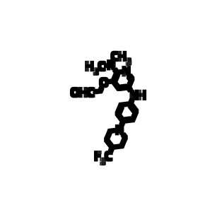 CN(C)c1ncc(Nc2ccc(N3CCC(C(F)(F)F)CC3)cc2)cc1OCC=O